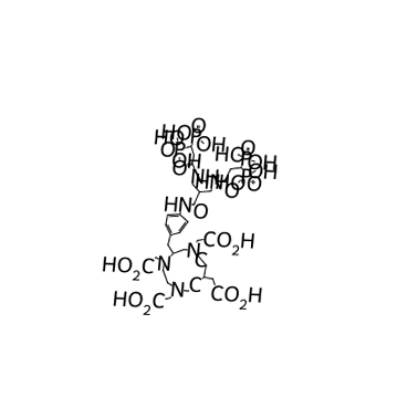 O=C(O)CC1CCN(CC(=O)O)CCN(CC(=O)O)C(Cc2ccc(NC(=O)C(CNC(=O)CC(P(=O)(O)O)P(=O)(O)O)CNC(=O)CC(P(=O)(O)O)P(=O)(O)O)cc2)CN(CC(=O)O)CC1